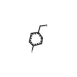 [S]Cc1ccc(I)cc1